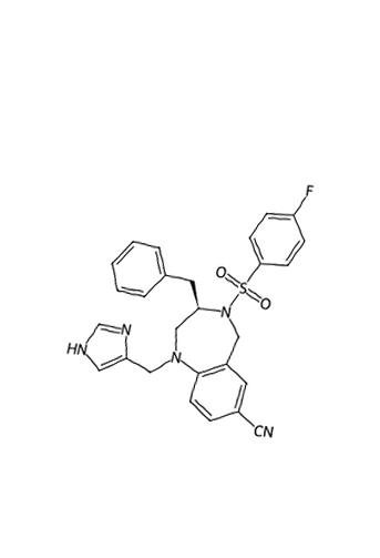 N#Cc1ccc2c(c1)CN(S(=O)(=O)c1ccc(F)cc1)[C@H](Cc1ccccc1)CN2Cc1c[nH]cn1